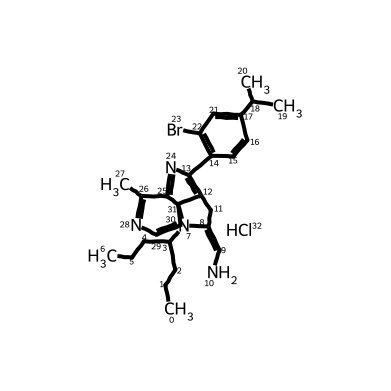 CCCC(CCC)N1C(=CN)CC2=C(c3ccc(C(C)C)cc3Br)N=C3C(C)=NC=CC321.Cl